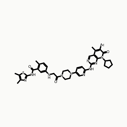 CC(=O)c1c(C)c2cnc(Nc3ccc(N4CCN(C(=O)CNc5ccc(C)c(C(=O)Nc6nc(C)c(C)s6)c5)CC4)cn3)nc2n(C2CCCC2)c1=O